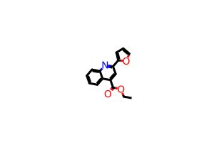 CCOC(=O)c1cc(-c2ccco2)nc2ccccc12